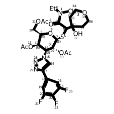 CCN(C)C(=O)C(S[C@@H]1O[C@H](COC(C)=O)[C@H](OC(C)=O)[C@H](n2cc(-c3cc(F)c(F)c(F)c3)nn2)[C@H]1OC(C)=O)C1(O)CCOCC1